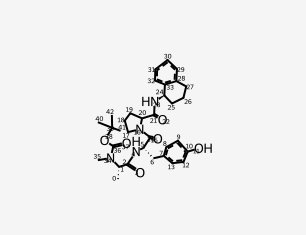 C[C@@H](C(=O)N[C@@H](Cc1ccc(O)cc1)C(=O)N1CCCC1C(=O)N[C@@H]1CCCc2ccccc21)N(C)C(=O)OC(C)(C)C